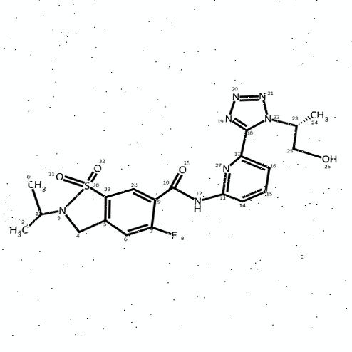 CC(C)N1Cc2cc(F)c(C(=O)Nc3cccc(-c4nnnn4[C@H](C)CO)n3)cc2S1(=O)=O